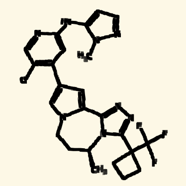 C[C@H]1CCn2cc(-c3cc(Nc4ccnn4C)ncc3Cl)cc2-c2nnc(C3(C(F)(F)F)CCC3)n21